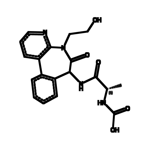 C[C@H](NC(=O)O)C(=O)NC1C(=O)N(CCO)c2ncccc2-c2ccccc21